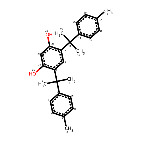 Cc1ccc(C(C)(C)c2cc(C(C)(C)c3ccc(C)cc3)c(O)cc2O)cc1